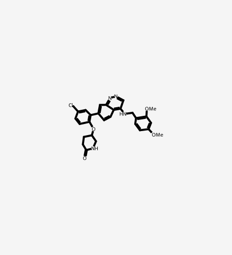 COc1ccc(CNc2cnnc3cc(-c4cc(Cl)ccc4OC4CCC(=O)NC4)ccc23)c(OC)c1